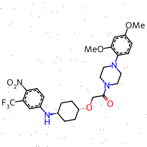 COc1ccc(N2CCN(C(=O)CO[C@H]3CC[C@H](Nc4ccc([N+](=O)[O-])c(C(F)(F)F)c4)CC3)CC2)c(OC)c1